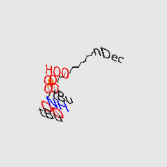 CCCCCCCCCCCCCCC/C=C/COC[C@@H](O)COP(=O)(OCCNC(=O)OC(C)(C)C)OC(C)(C)C